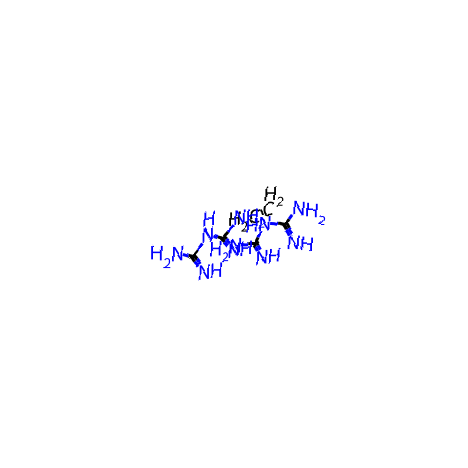 C=C.N=C(N)NC(=N)N.N=C(N)NC(=N)N